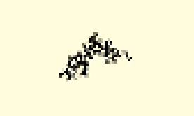 CCN(C(C)=O)c1ccc2cc(-c3nc4cc(C(=O)N5CCC[C@@H](N)C5)cc(OC)c4n3C)n(CC3CC3)c2n1